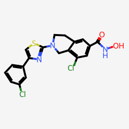 O=C(NO)c1cc(Cl)c2c(c1)CCN(c1nc(-c3cccc(Cl)c3)cs1)C2